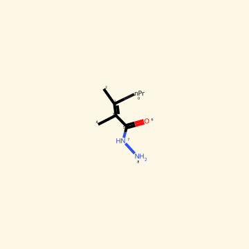 CCCC(C)=C(C)C(=O)NN